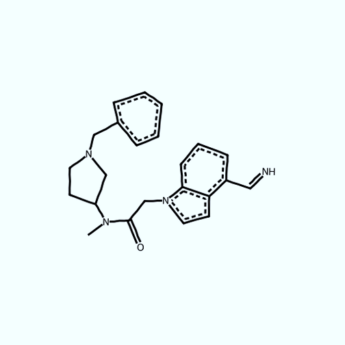 CN(C(=O)Cn1ccc2c(C=N)cccc21)C1CCN(Cc2ccccc2)C1